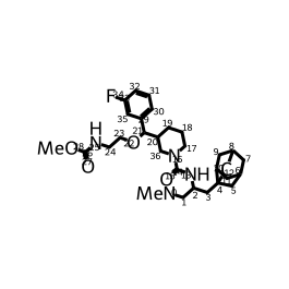 CNCC(CC12CC3CC(CC1C3)C2)NC(=O)N1CCCC(C(OCCNC(=O)OC)c2cccc(F)c2)C1